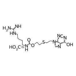 N=C(N)NCCC[C@H](NC(=O)OCCSCCn1cnc2c(O)ncnc21)C(=O)O